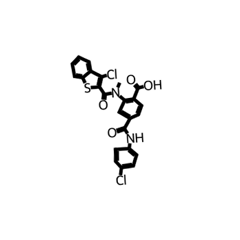 CN(C(=O)c1sc2ccccc2c1Cl)c1cc(C(=O)Nc2ccc(Cl)cc2)ccc1C(=O)O